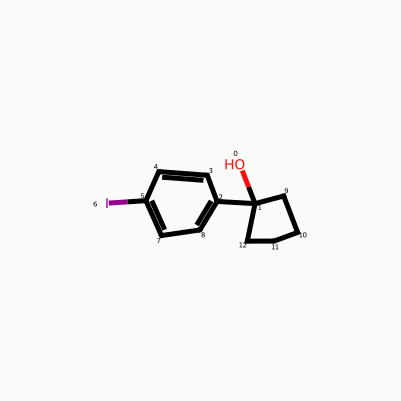 OC1(c2ccc(I)cc2)CCCC1